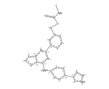 CNC(=O)COc1cccc(-c2nc(Nc3ccc(-c4cn[nH]c4)cc3)c3ccsc3n2)c1